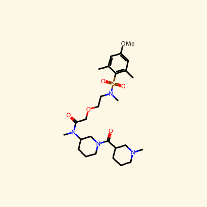 COc1cc(C)c(S(=O)(=O)N(C)CCOCC(=O)N(C)C2CCCN(C(=O)C3CCCN(C)C3)C2)c(C)c1